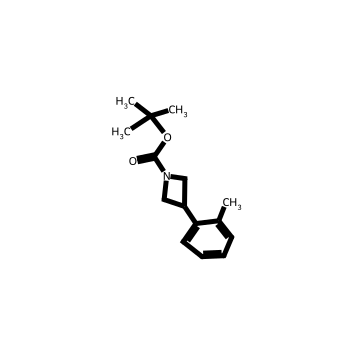 Cc1ccccc1C1CN(C(=O)OC(C)(C)C)C1